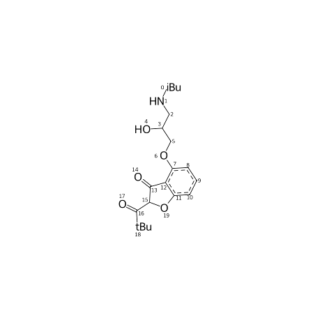 CCC(C)NCC(O)COc1cccc2c1C(=O)C(C(=O)C(C)(C)C)O2